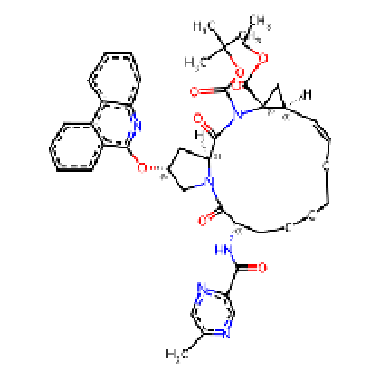 CCOC(=O)[C@@]12C[C@H]1C=CCCCCC[C@H](NC(=O)c1cnc(C)cn1)C(=O)N1C[C@H](Oc3nc4ccccc4c4ccccc34)C[C@H]1C(=O)N2C(=O)OC(C)(C)C